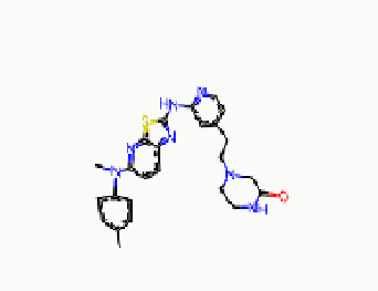 Cc1ccc(N(C)c2ccc3nc(Nc4cc(CCN5CCNC(=O)C5)ccn4)sc3n2)cc1